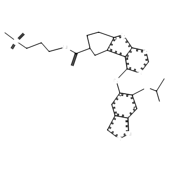 CC(C)Oc1cc2[nH]ncc2cc1Nc1ncnc2[nH]c3c(c12)CC(C(=O)NCCCS(C)(=O)=O)CC3